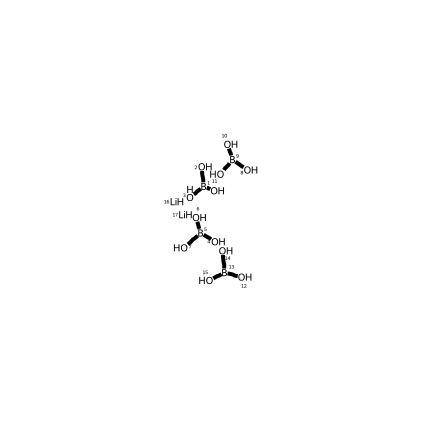 OB(O)O.OB(O)O.OB(O)O.OB(O)O.[LiH].[LiH]